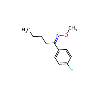 CCCC/C(=N/OC)c1ccc(F)cc1